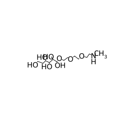 CNCCOCCOCCOC(O)C(O)C(O)C(O)CCO